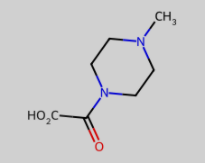 CN1CCN(C(=O)C(=O)O)CC1